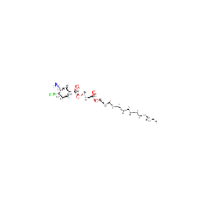 CCCCCCCCCCCCOC(=O)CCOC(=O)c1ccc(Cl)c(N)c1